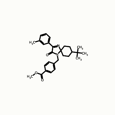 COC(=O)c1ccc(CN2C(=O)C(c3cccc(C)c3)=NC23CCC(C(C)(C)C)CC3)cc1